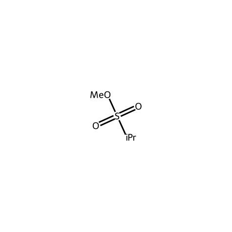 [CH2]OS(=O)(=O)C(C)C